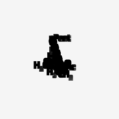 C=C(C)C(=O)OCCCc1cc(-c2ccc(-c3ccc(C4CCC(CCCCC)CC4)cc3F)cc2CC)ccc1OCC(COC(=O)C(=C)C)(COC(=O)C(C)=O)COC(=O)C(C)=O